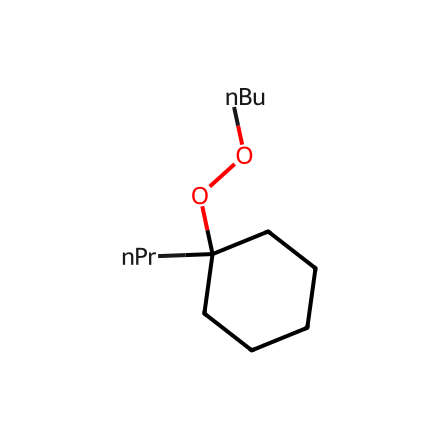 CCCCOOC1(CCC)CCCCC1